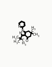 CC1(C)CC(=O)c2c(C(C)(C)C)nn(-c3ccccn3)c2C1